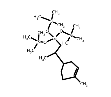 CC1=CCC(C(C)C[Si](O[Si](C)(C)C)(O[Si](C)(C)C)O[Si](C)(C)C)CC1